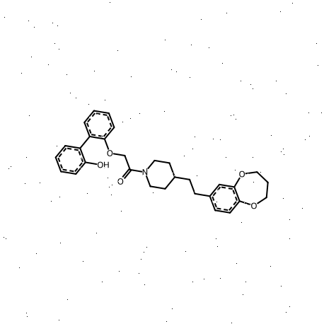 O=C(COc1ccccc1-c1ccccc1O)N1CCC(CCc2ccc3c(c2)OCCCO3)CC1